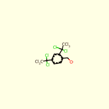 [O]Cc1ccc(C(Cl)(Cl)C(Cl)(Cl)Cl)cc1C(Cl)(Cl)C(Cl)(Cl)Cl